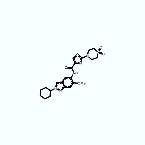 COc1cc2nn(C3CCCCC3)cc2cc1NC(=O)c1coc(N2CCS(=O)(=O)CC2)n1